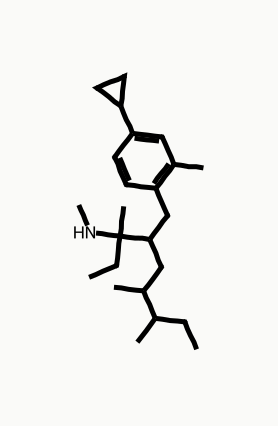 CCC(C)C(C)CC(Cc1ccc(C2CC2)cc1C)C(C)(CC)NC